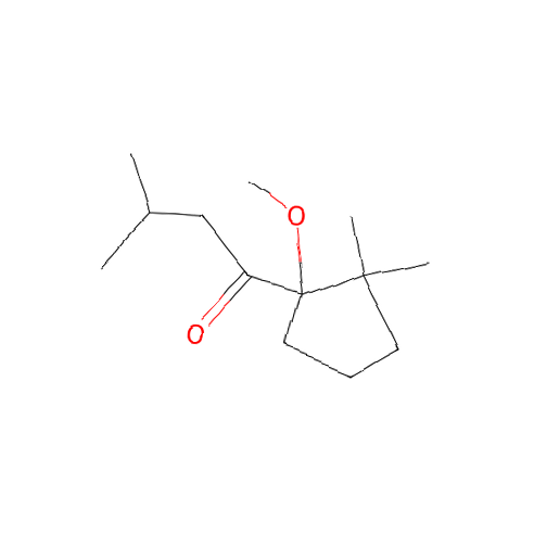 COC1(C(=O)CC(C)C)CCCC1(C)C